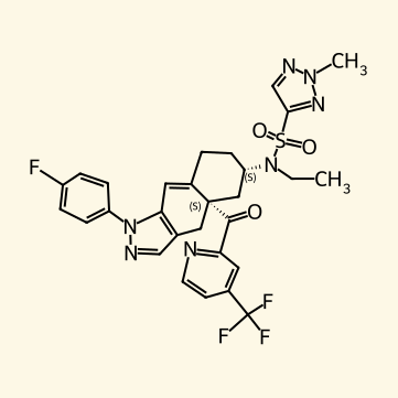 CCN([C@H]1CCC2=Cc3c(cnn3-c3ccc(F)cc3)C[C@]2(C(=O)c2cc(C(F)(F)F)ccn2)C1)S(=O)(=O)c1cnn(C)n1